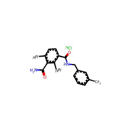 CCCc1ccc(C(=O)NCc2cccc(C(F)(F)F)c2)c(CCC)c1C(N)=O.Cl